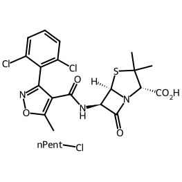 CCCCCCl.Cc1onc(-c2c(Cl)cccc2Cl)c1C(=O)N[C@@H]1C(=O)N2[C@@H]1SC(C)(C)[C@@H]2C(=O)O